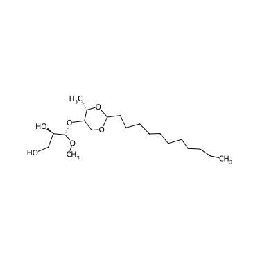 CCCCCCCCCCCC1OCC(O[C@H](OC)[C@H](O)CO)[C@H](C)O1